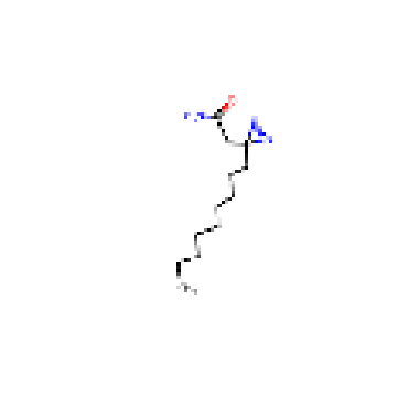 CCCCCCCCCC1(CC(N)=O)N=N1